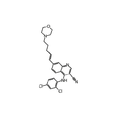 N#Cc1cnc2cc(C=CCCCN3CCOCC3)ccc2c1Nc1ccc(Cl)cc1Cl